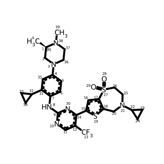 C[C@@H]1CN(c2ccc(Nc3ncc(C(F)(F)F)c(-c4cc5c(s4)CN(C4CC4)CCS5(=O)=O)n3)c(C3CC3)c2)CCN1C